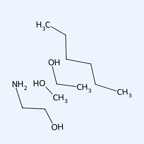 CCCCCC.CCO.CO.NCCO